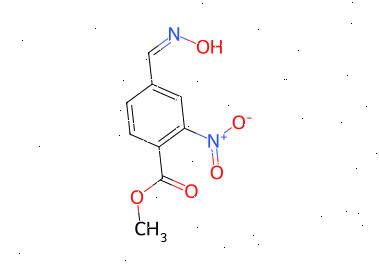 COC(=O)c1ccc(/C=N\O)cc1[N+](=O)[O-]